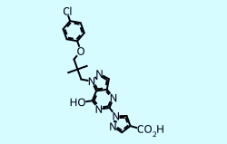 CC(C)(COc1ccc(Cl)cc1)Cn1ncc2nc(-n3cc(C(=O)O)cn3)nc(O)c21